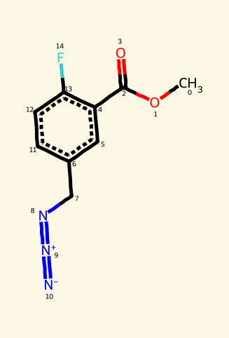 COC(=O)c1cc(CN=[N+]=[N-])ccc1F